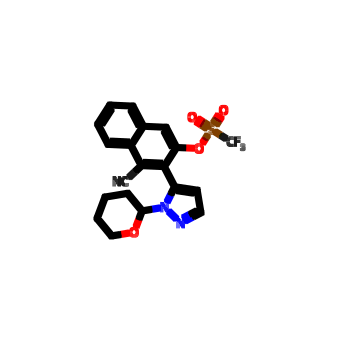 N#Cc1c(-c2ccnn2C2CCCCO2)c(OS(=O)(=O)C(F)(F)F)cc2ccccc12